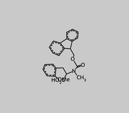 COc1ccccc1CC(C(=O)O)N(C)C(=O)OCC1c2ccccc2-c2ccccc21